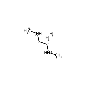 CNCCNC.I.I